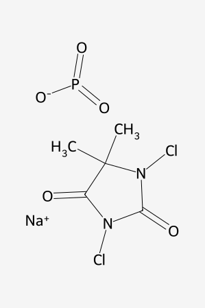 CC1(C)C(=O)N(Cl)C(=O)N1Cl.O=P(=O)[O-].[Na+]